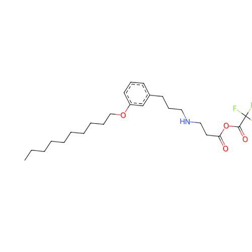 CCCCCCCCCCOc1cccc(CCCNCCC(=O)OC(=O)C(F)(F)F)c1